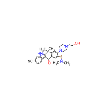 CN(C)Sc1cc2c(cc1N1CCN(CCO)CC1)C(C)(C)c1[nH]c3cc(C#N)ccc3c1C2=O